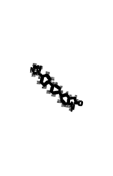 O=C1Cc2cc(-c3ccc(-c4ccc(-n5cncn5)cc4)cc3)ccc2N1F